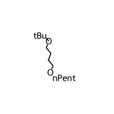 [CH2]C(C)(C)OCCCCOCCCCC